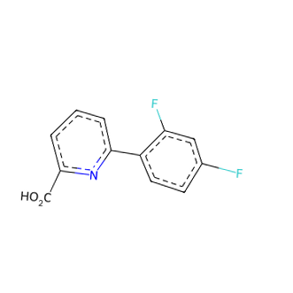 O=C(O)c1cccc(-c2ccc(F)cc2F)n1